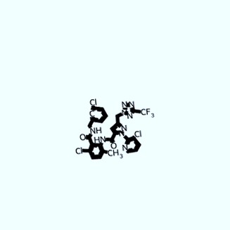 Cc1ccc(Cl)c(C(=O)NCc2cccc(Cl)c2)c1NC(=O)c1cc(Cn2nnc(C(F)(F)F)n2)nn1-c1ncccc1Cl